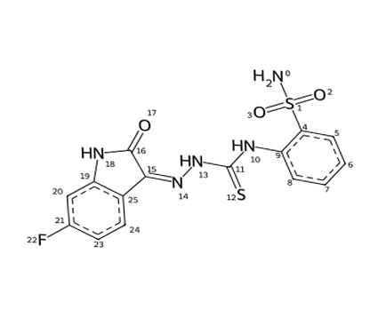 NS(=O)(=O)c1ccccc1NC(=S)NN=C1C(=O)Nc2cc(F)ccc21